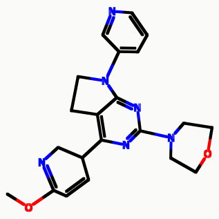 COC1=NCC(c2nc(N3CCOCC3)nc3c2CCN3c2cccnc2)C=C1